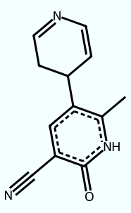 Cc1[nH]c(=O)c(C#N)cc1C1C=CN=CC1